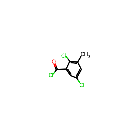 Cc1cc(Cl)cc(C(=O)Cl)c1Cl